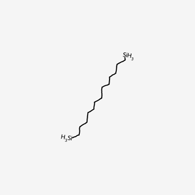 [SiH3]CCCCCCCCCCCCC[SiH3]